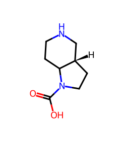 O=C(O)N1CC[C@H]2CNCCC21